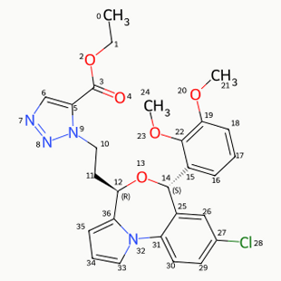 CCOC(=O)c1cnnn1CC[C@H]1O[C@H](c2cccc(OC)c2OC)c2cc(Cl)ccc2-n2cccc21